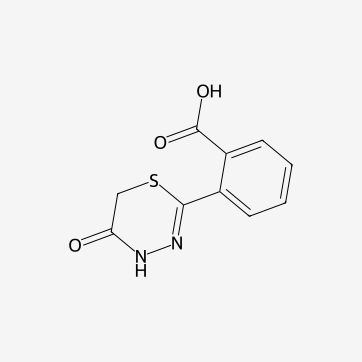 O=C1CSC(c2ccccc2C(=O)O)=NN1